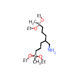 CCO[Si](C)(CCCC(CN)CCC[Si](C)(OCC)OCC)OCC